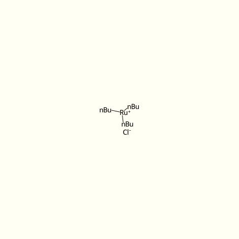 CCC[CH2][Ru+]([CH2]CCC)[CH2]CCC.[Cl-]